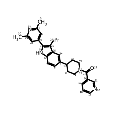 Cc1cc(-c2[nH]c3ccc(C4CCN(C(=O)c5cccnc5)CC4)cc3c2C(C)C)cc(C)n1